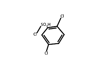 Clc1ccc(Cl)cc1.O=S(=O)(O)Cl